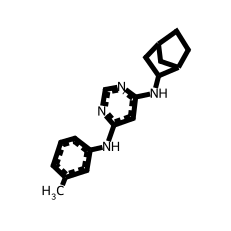 Cc1cccc(Nc2cc(NC3CC4CCC3C4)ncn2)c1